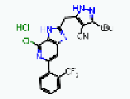 CC(C)(C)c1n[nH]c(Cc2nc3cc(-c4ccccc4C(F)(F)F)nc(Cl)c3[nH]2)c1C#N.Cl